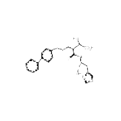 O=C(O)C(O)C(CCCc1ccc(-c2ccccc2)cc1)C(=O)N[C@H](CO)Cc1c[nH]cn1